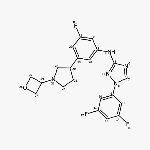 Fc1cc(Nc2ncn(-c3cc(F)cc(F)c3)n2)cc(C2CCN(C3COC3)C2)c1